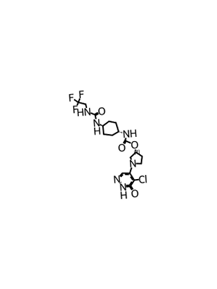 O=C(NCC(F)(F)F)N[C@H]1CC[C@H](NC(=O)O[C@@H]2CCN(c3cn[nH]c(=O)c3Cl)C2)CC1